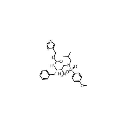 COc1ccc(S(=O)(=O)N(CC(C)C)C[C@@H](N)[C@H](Cc2ccccc2)NC(=O)OCc2cncs2)cc1